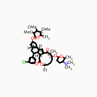 CC[C@H]1CCC[C@H](OC2CC[C@H](N(C)C)C(C)O2)[C@@H](C)C(=O)C2=C[C@@H]3C(C(c4cccc(Cl)c4)C[C@@H]4C[C@@H](O[C@@H]5OC(C)[C@H](OC)C(OC)C5OC)C[C@H]43)[C@@H]2CC(=O)O1